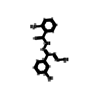 Cc1ccccc1C(=O)N/N=C(\C=N\O)c1cccc(O)c1